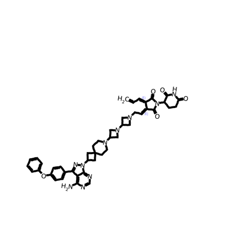 C=C/C=C1/C(=O)N(C2CCC(=O)NC2=O)C(=O)/C1=C/CN1CC(N2CC(N3CCC4(CC3)CC(n3nc(-c5ccc(Oc6ccccc6)cc5)c5c(N)ncnc53)C4)C2)C1